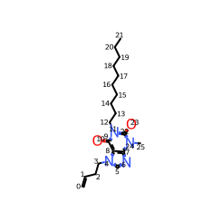 C=CCCn1cnc2c1c(=O)n(CCCCCCCCCC)c(=O)n2C